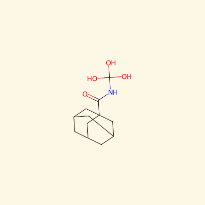 O=C(NC(O)(O)O)C12CC3CC(CC(C3)C1)C2